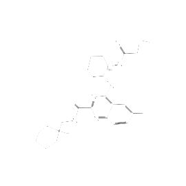 COCC(=N)N[C@@H]1CCCC[C@@H]1Nc1nc(C(=O)NCC2(O)CCCCC2)nc2ccc(C)cc12.Cl.Cl